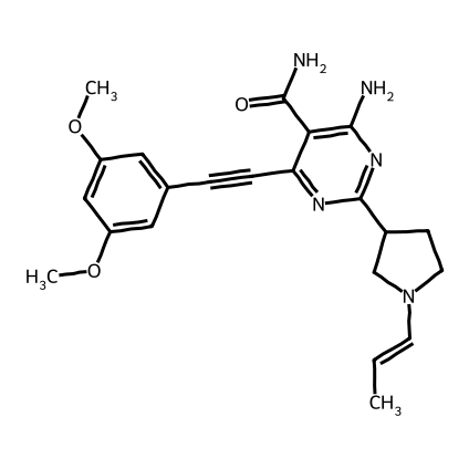 CC=CN1CCC(c2nc(N)c(C(N)=O)c(C#Cc3cc(OC)cc(OC)c3)n2)C1